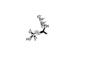 CC(=O)O.O=P([O-])([O-])O.[Cl-].[Na+].[Na+].[Na+]